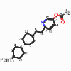 CCCCC[C@H]1CC[C@H](C2CCC(CCc3ccc(OC(=O)CCCC)cn3)CC2)CC1